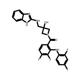 O=C(c1ccc(F)c(F)c1Nc1ccc(I)cc1F)N1CC(O)(CNc2nc3ccccc3[nH]2)C1